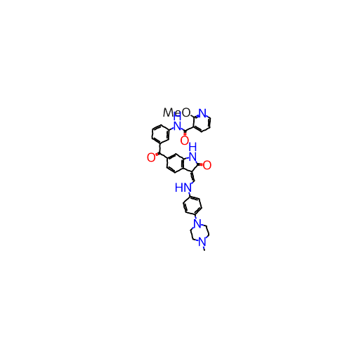 COc1ncccc1C(=O)Nc1cccc(C(=O)c2ccc3c(c2)NC(=O)/C3=C/Nc2ccc(N3CCN(C)CC3)cc2)c1